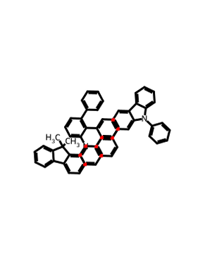 CC1(C)c2ccccc2-c2cccc(N(c3cccc(-c4ccc5c6ccccc6n(-c6ccccc6)c5c4)c3)c3cccc(-c4ccccc4)c3-c3ccccc3-c3ccccc3)c21